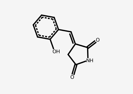 O=C1C/C(=C\c2ccccc2O)C(=O)N1